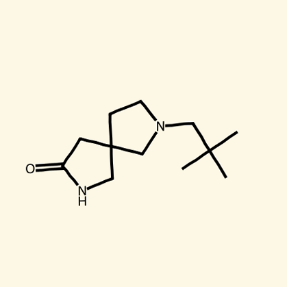 CC(C)(C)CN1CCC2(CNC(=O)C2)C1